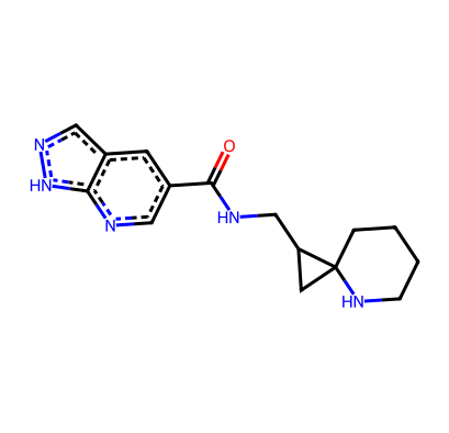 O=C(NCC1CC12CCCCN2)c1cnc2[nH]ncc2c1